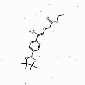 CCOC(=O)CO/C=C(\N)c1ccc(B2OC(C)(C)C(C)(C)O2)cc1